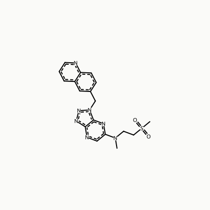 CN(CCS(C)(=O)=O)c1cnc2nnn(Cc3ccc4ncccc4c3)c2n1